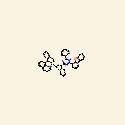 c1ccc(-c2nc(-c3cc(N4c5ccc6ccccc6c5-c5cccc6cccc4c56)cc4ccccc34)nc(-c3cccc4c3oc3ccccc34)n2)cc1